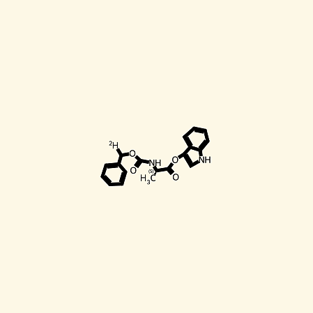 [2H]C(OC(=O)N[C@@H](C)C(=O)Oc1c[nH]c2ccccc12)c1ccccc1